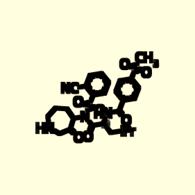 CC(C)C[C@H](NC(=O)c1ccc(S(C)(=O)=O)cc1)C(=O)N(C1CCCNCC1=O)S(=O)(=O)c1ccccc1C#N